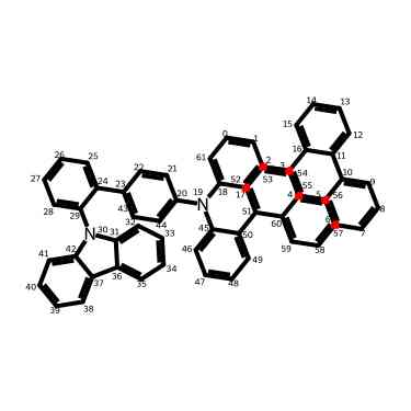 c1cc(-c2cc3ccccc3c3ccccc23)cc(N(c2ccc(-c3ccccc3-n3c4ccccc4c4ccccc43)cc2)c2ccccc2-c2cccc3ccccc23)c1